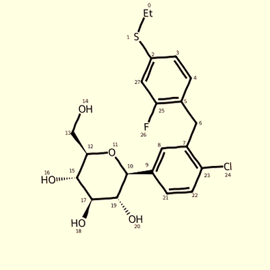 CCSc1ccc(Cc2cc([C@@H]3O[C@H](CO)[C@@H](O)[C@H](O)[C@H]3O)ccc2Cl)c(F)c1